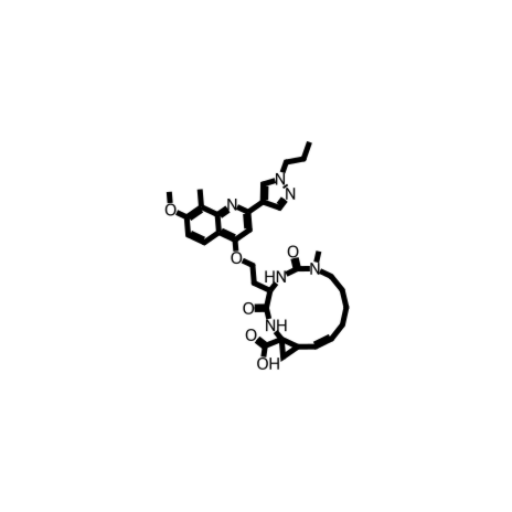 CCCn1cc(-c2cc(OCCC3NC(=O)N(C)CCCCC=CC4CC4(C(=O)O)NC3=O)c3ccc(OC)c(C)c3n2)cn1